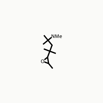 CNC(C)(C)CC(C)(C)C1OC1C